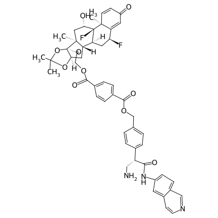 CC1(C)O[C@@H]2C[C@H]3[C@@H]4C[C@H](F)C5=CC(=O)C=C[C@]5(C)[C@@]4(F)[C@@H](O)C[C@]3(C)[C@]2(C(=O)COC(=O)c2ccc(C(=O)OCc3ccc([C@@H](CN)C(=O)Nc4ccc5cnccc5c4)cc3)cc2)O1